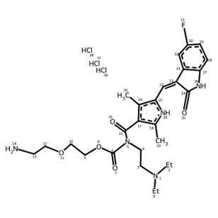 CCN(CC)CCN(C(=O)OCCOCCN)C(=O)c1c(C)[nH]c(C=C2C(=O)Nc3ccc(F)cc32)c1C.Cl.Cl.Cl